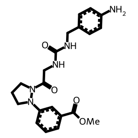 COC(=O)c1cccc(N2CCCN2C(=O)CNC(=O)NCc2ccc(N)cc2)c1